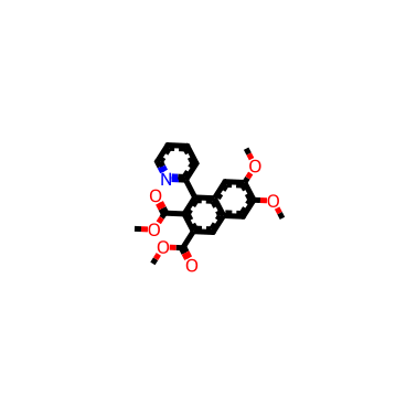 COC(=O)c1cc2cc(OC)c(OC)cc2c(-c2ccccn2)c1C(=O)OC